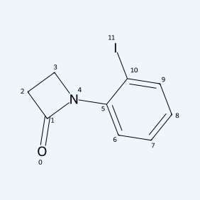 O=C1CCN1c1ccccc1I